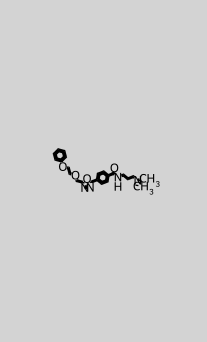 CN(C)CCCNC(=O)c1ccc(-c2nnc(COCCOc3ccccc3)o2)cc1